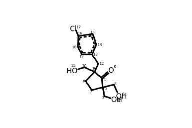 O=C1C(CO)(CO)CCC1(CO)Cc1ccc(Cl)cc1